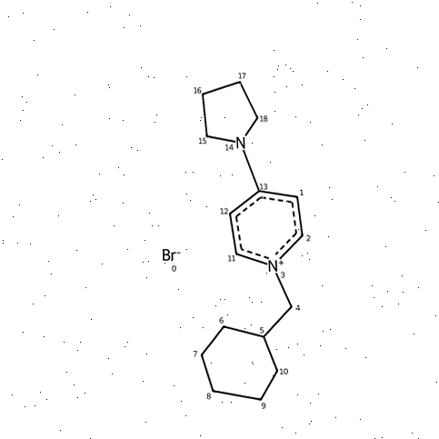 [Br-].c1c[n+](CC2CCCCC2)ccc1N1CCCC1